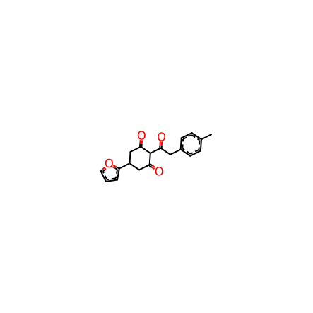 Cc1ccc(CC(=O)C2C(=O)CC(c3ccco3)CC2=O)cc1